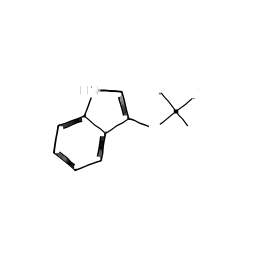 FC(Cl)(Cl)Sc1c[nH]c2ccccc12